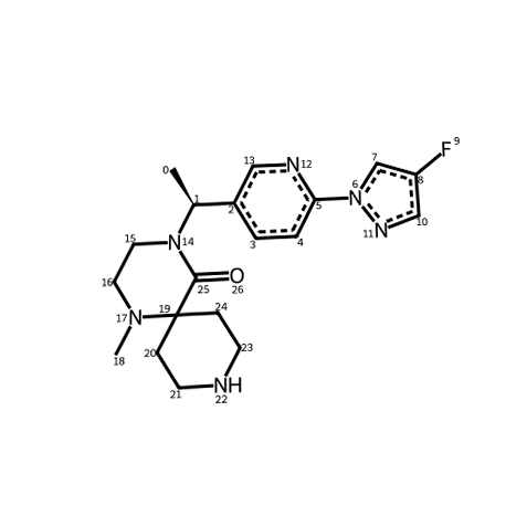 C[C@@H](c1ccc(-n2cc(F)cn2)nc1)N1CCN(C)C2(CCNCC2)C1=O